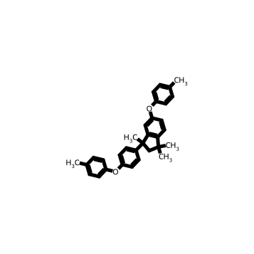 Cc1ccc(Oc2ccc(C3(C)CC(C)(C)c4ccc(Oc5ccc(C)cc5)cc43)cc2)cc1